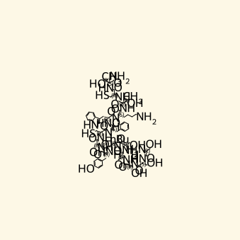 CCCC[C@H](NC(=O)[C@@H](CO)NC(=O)[C@H](CO)NC(=O)[C@@H](CO)NC(=O)[C@H](CO)NC(=O)[C@H](N)CO)C(=O)N[C@H](Cc1ccc(O)cc1)C(=O)N[C@H](CO)C(=O)N[C@@H](CS)C(=O)N[C@@H](Cc1ccccc1)C(=O)N[C@H](Cc1c[nH]c2ccccc12)C(=O)N[C@@H](CCCCN)C(=O)N[C@H](C(=O)N[C@@H](CS)C(=O)N[C@H](C(N)=O)[C@@H](C)O)[C@@H](C)O